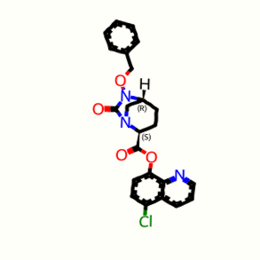 O=C(Oc1ccc(Cl)c2cccnc12)[C@@H]1CC[C@@H]2CN1C(=O)N2OCc1ccccc1